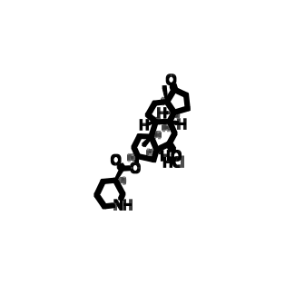 C[C@]12CC[C@H](OC(=O)[C@@H]3CCCNC3)C[C@@H]1C(=O)C[C@@H]1[C@@H]2CC[C@]2(C)C(=O)CC[C@@H]12.Cl